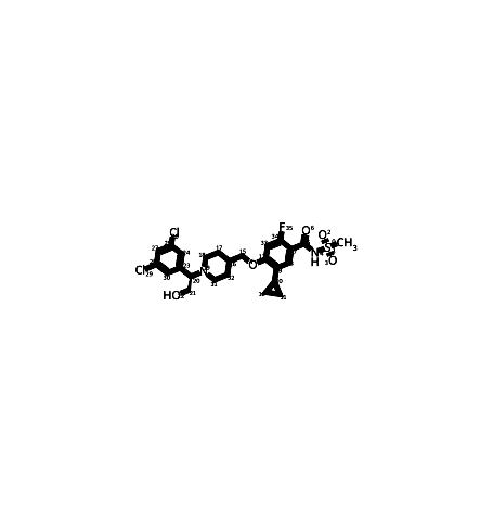 CS(=O)(=O)NC(=O)c1cc(C2CC2)c(OCC2CCN([C@@H](CO)c3cc(Cl)cc(Cl)c3)CC2)cc1F